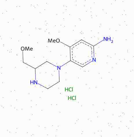 COCC1CN(c2cnc(N)cc2OC)CCN1.Cl.Cl